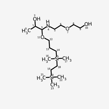 CC(O)C(NCCOCCO)OCCC[Si](C)(C)CC[Si](C)(C)C